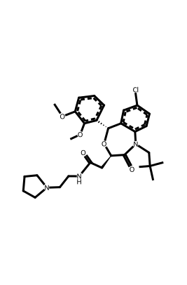 COc1cccc([C@H]2O[C@H](CC(=O)NCCN3CCCC3)C(=O)N(CC(C)(C)C)c3ccc(Cl)cc32)c1OC